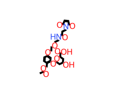 CC(=O)OCc1ccc(OCCOCCNC(=O)CCN2C(=O)C=CC2=O)cc1OC1CC(O)CC(C(=O)O)O1